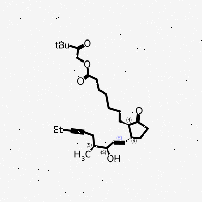 CCC#CC[C@H](C)[C@H](O)/C=C/[C@H]1CCC(=O)[C@@H]1CCCCCCC(=O)OCC(=O)C(C)(C)C